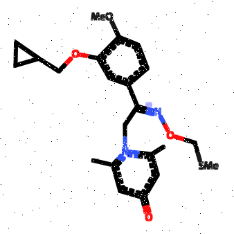 COc1ccc(/C(Cn2c(C)cc(=O)cc2C)=N/OCSC)cc1OCC1CC1